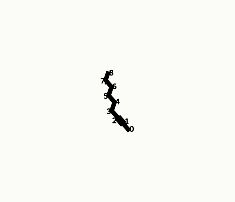 CC#CCCCC[CH]C